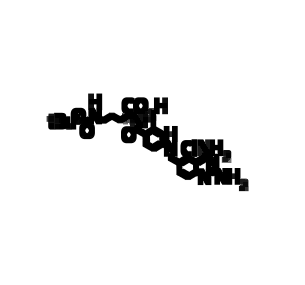 CC(C)(C)OC(=O)NCCC[C@H](NC(=O)c1ccc(NCc2ccc3nc(N)nc(N)c3c2Cl)cc1)C(=O)O